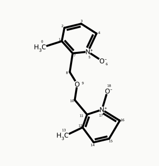 Cc1ccc[n+]([O-])c1COCc1c(C)ccc[n+]1[O-]